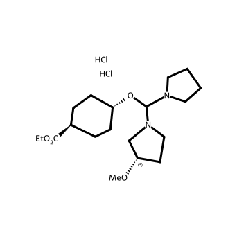 CCOC(=O)[C@H]1CC[C@H](OC(N2CCCC2)N2CC[C@H](OC)C2)CC1.Cl.Cl